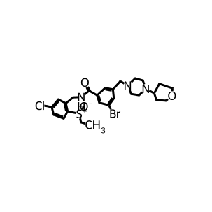 CC[S+]([O-])c1ccc(Cl)cc1CNC(=O)c1cc(Br)cc(CN2CCN(C3CCOCC3)CC2)c1